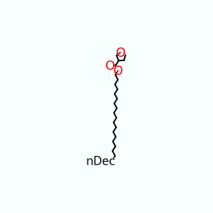 CCCCCCCCCCCCCCCCCCCCCCCCCCCCOC(=O)C1CCOC1